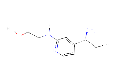 CC[C@H](N)c1ccnc(N(C)CCOC)c1